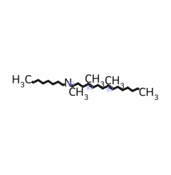 CCCCCC/C=C(\C)CC/C=C(\C)CC/C(C)=N/CCCCCCCC